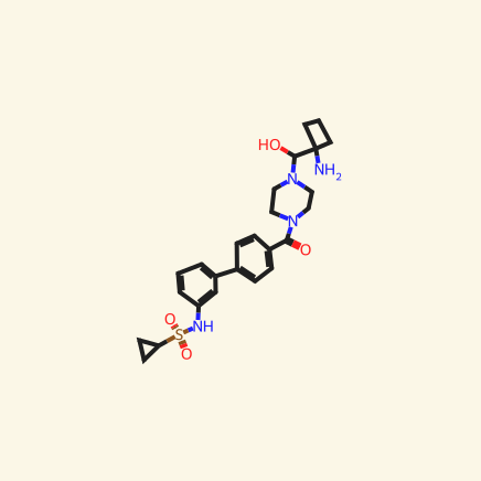 NC1(C(O)N2CCN(C(=O)c3ccc(-c4cccc(NS(=O)(=O)C5CC5)c4)cc3)CC2)CCC1